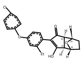 CCc1cc(Oc2ccc(Cl)cc2)ccc1C1=C(O)[C@H]2[C@@H](C1=O)[C@@H]1CC[C@H]2O1